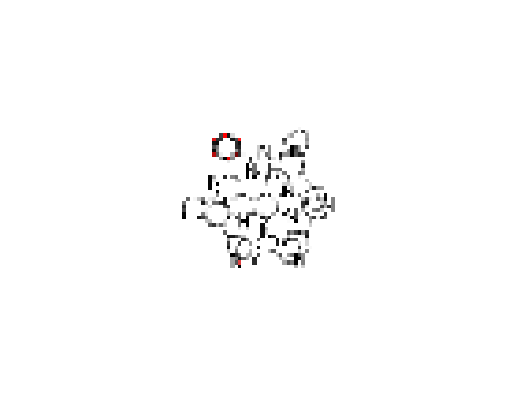 c1ccc(-c2cc(-c3c(-c4nc(-c5ccccc5)nc(-c5ccccc5)n4)c(-n4c5ccccc5c5cnccc54)c(-n4c5ccccc5c5cnccc54)c(-n4c5ccccc5c5cnccc54)c3-n3c4ccccc4c4cnccc43)cc(-c3ccccc3)n2)cc1